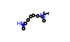 C=C/C(=C\C=C(C)C)c1nc(-c2ccccc2)cc(-c2ccc(-c3ccc4ccc(-c5ccc(-c6ccc7c(c6)NCN7c6ccccc6)cc5)cc4c3)cc2)n1